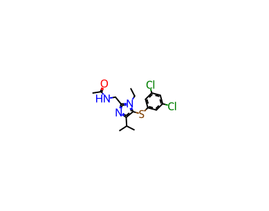 CCn1c(CNC(C)=O)nc(C(C)C)c1Sc1cc(Cl)cc(Cl)c1